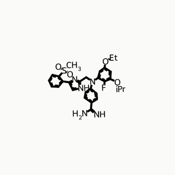 CCOc1cc(OC(C)C)c(F)c(N(Cc2nc(-c3ccccc3S(C)(=O)=O)c[nH]2)c2ccc(C(=N)N)cc2)c1